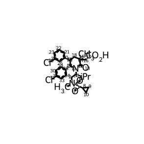 CC(C)[C@@H](CN(C)S(=O)(=O)C1CC1)N1C(=O)[C@](C)(CC(=O)O)C[C@H](c2cccc(Cl)c2)[C@H]1c1ccc(Cl)cc1